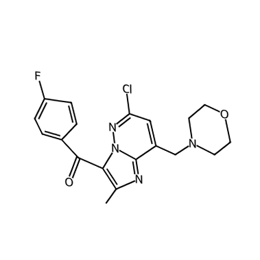 Cc1nc2c(CN3CCOCC3)cc(Cl)nn2c1C(=O)c1ccc(F)cc1